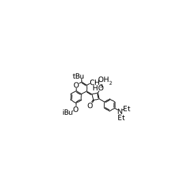 CCC(C)Oc1ccc2c(c1)C(=C1C(=O)C(c3ccc(N(CC)CC)cc3)=C1O)C(C)=C(C(C)(C)C)O2.O